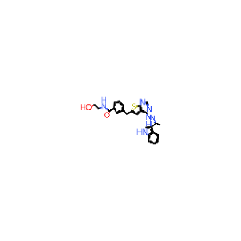 CC(=NNc1ncnc2sc(Cc3cccc(C(=O)NCCO)c3)cc12)c1c[nH]c2ccccc12